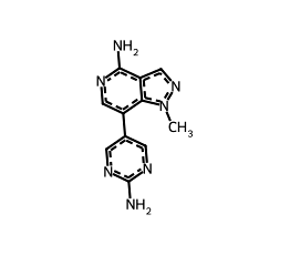 Cn1ncc2c(N)ncc(-c3cnc(N)nc3)c21